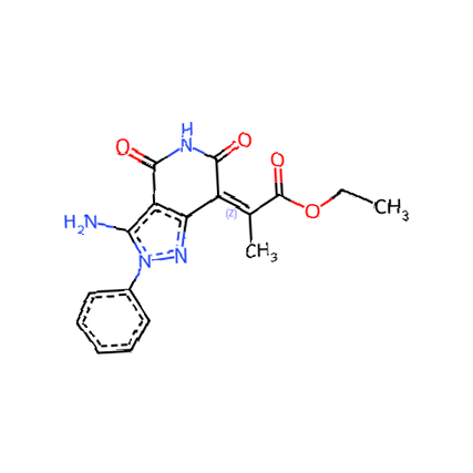 CCOC(=O)/C(C)=C1\C(=O)NC(=O)c2c1nn(-c1ccccc1)c2N